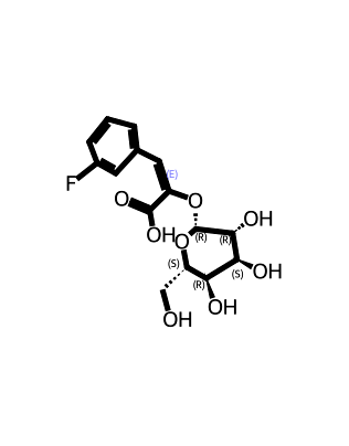 O=C(O)/C(=C\c1cccc(F)c1)O[C@H]1O[C@@H](CO)[C@H](O)[C@H](O)[C@H]1O